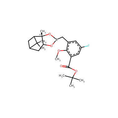 COc1c(CB2OC3CC4CC(C4(C)C)[C@]3(C)O2)cc(F)cc1C(=O)OC(C)(C)C